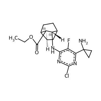 CCOC(=O)[C@H]1C2CCC(CC2)[C@@H]1Nc1nc(Cl)nc(C2(N)CC2)c1F